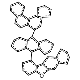 c1ccc2cc3c(cc2c1)oc1cccc(-c2c4ccccc4c(-c4cc5ccccc5c5c4ccc4ccccc45)c4ccccc24)c13